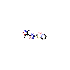 Cc1noc(C)c1-c1nc(CSc2cccc[n+]2O)no1